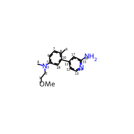 COCCN(C)c1ccc(C)c(-c2ccnc(N)c2)c1